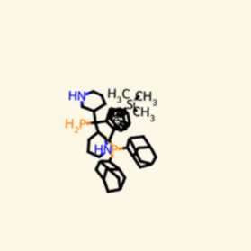 C[Si](C)(C)[C]12[CH]3[C]4(CP(C5C6CC7CC(C6)CC5C7)C5C6CC7CC(C6)CC5C7)[C]5(C(P)(C6CCCNC6)C6CCCNC6)[CH]1[Fe]34521678[CH]2[CH]1[CH]6[CH]7[CH]28